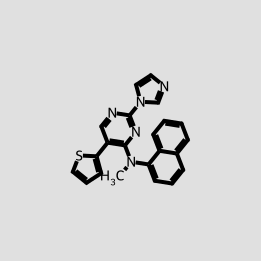 CN(c1nc(-n2ccnc2)ncc1-c1cccs1)c1cccc2ccccc12